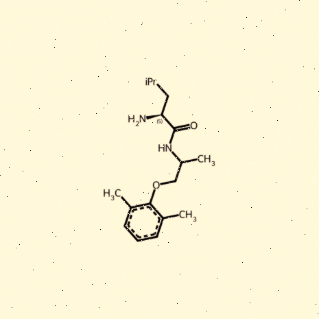 Cc1cccc(C)c1OCC(C)NC(=O)[C@@H](N)CC(C)C